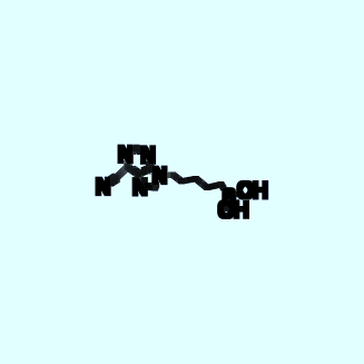 N#Cc1ncnc2c1ncn2CCCCCB(O)O